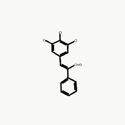 O=C/C(=C\c1cc(Cl)c(Cl)c(Cl)c1)c1ccccc1